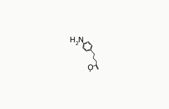 C=C(CCCc1ccc(N)cc1)OC